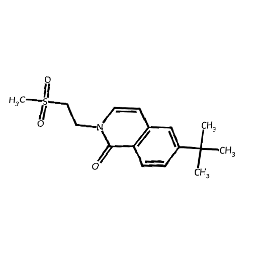 CC(C)(C)c1ccc2c(=O)n(CCS(C)(=O)=O)ccc2c1